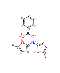 Cc1ccc(N(OB(O)c2ccccc2)c2ccc(C)o2)o1